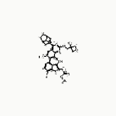 CCC1(COc2nc(N3CC4CCC(C3)N4C(=O)O)c3cc(C(F)(F)F)c(-c4ccc(F)c5sc(NC(=O)OC(C)(C)C)c(C#N)c45)c(F)c3n2)COC1